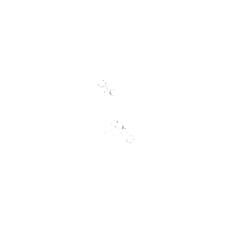 CCCCCCCCCCCC(CCCCCCCCCCC(=O)OCc1ccccc1)(C(=O)CCC(C)(C)C)C(=O)OCc1ccccc1